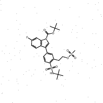 CC(C)(C)NS(=O)(=O)c1ccc(-c2cn(C(=O)OC(C)(C)C)c3cc(F)ccc23)cc1CCOS(C)(=O)=O